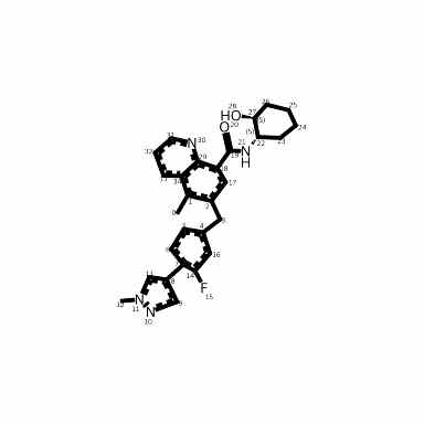 Cc1c(Cc2ccc(-c3cnn(C)c3)c(F)c2)cc(C(=O)N[C@H]2CCCC[C@@H]2O)c2ncccc12